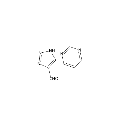 O=Cc1c[nH]nn1.c1cncnc1